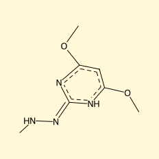 CNN=c1nc(OC)cc(OC)[nH]1